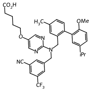 COc1ccc(C(C)C)cc1-c1ccc(C)cc1CN(Cc1cc(C#N)cc(C(F)(F)F)c1)c1ncc(OCCCCC(=O)O)cn1